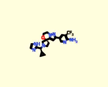 Nc1ncc(-c2cc3n(n2)CCO[C@@]32CCN([C@H](c3ncc[nH]3)C3CC3)C2)cc1C(F)(F)F